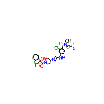 CN(C)C(=O)c1ccc(NC2CN(C3CCN(C(=O)[C@](O)(c4ccccc4)C(F)(F)F)CC3)C2)cc1Cl